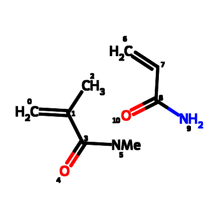 C=C(C)C(=O)NC.C=CC(N)=O